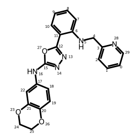 c1ccc(CNc2ccccc2-c2nnc(Nc3ccc4c(c3)OCCO4)o2)nc1